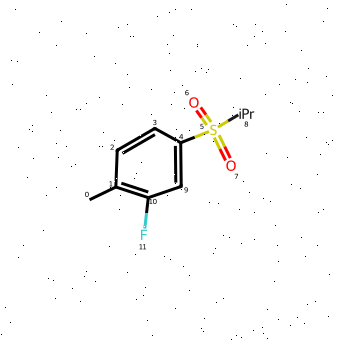 Cc1ccc(S(=O)(=O)C(C)C)cc1F